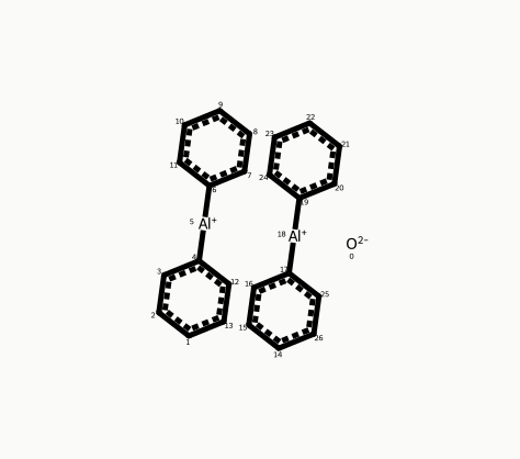 [O-2].c1cc[c]([Al+][c]2ccccc2)cc1.c1cc[c]([Al+][c]2ccccc2)cc1